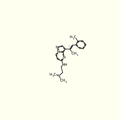 C/C(=C\c1ccccc1C)c1cnn2ccc(NCCN(C)C)nc12